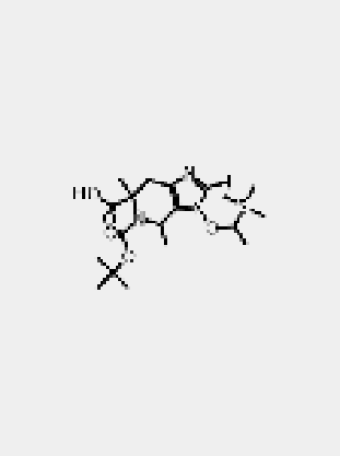 CC1c2c(nc(I)n2OC(C)[Si](C)(C)C)CC(C)(C(=O)O)N1C(=O)OC(C)(C)C